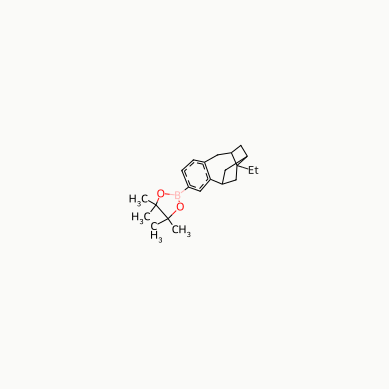 CCC12CC3CC1CC2Cc1ccc(B2OC(C)(C)C(C)(C)O2)cc13